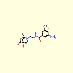 Nc1cc(C(=O)NCCN2C[C@@H]3C[C@H]2CC3=O)cc(C(F)(F)F)c1